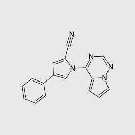 N#Cc1cc(-c2ccccc2)cn1-c1ncnn2cccc12